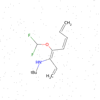 C=C/C=C\C(OC(F)F)=C(/C=C)NC(C)(C)C